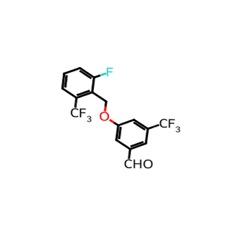 O=Cc1cc(OCc2c(F)cccc2C(F)(F)F)cc(C(F)(F)F)c1